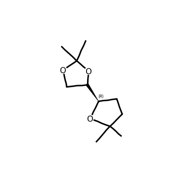 CC1(C)CC[C@H](C2COC(C)(C)O2)O1